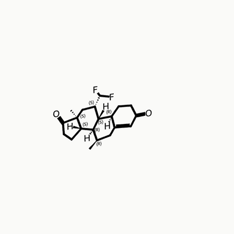 C[C@@H]1CC2=CC(=O)CC[C@@H]2[C@@H]2[C@@H]1[C@@H]1CCC(=O)[C@@]1(C)C[C@@H]2C(F)F